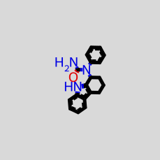 NC(=O)N(c1ccccc1)C1CCCc2c1[nH]c1ccccc21